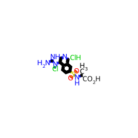 C[C@@H](NS(=O)(=O)c1ccc2c(N(Cl)C(=N)N)cncc2c1)C(=O)O.Cl